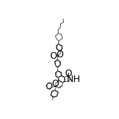 CCCCCC1CCC(c2ccc(OC(=O)c3ccc(-c4ccc5c6c(c7c(c5c4)C(=O)NC7)C=CC(c4ccccc4)(c4ccc(C)cc4)O6)cc3)cc2)CC1